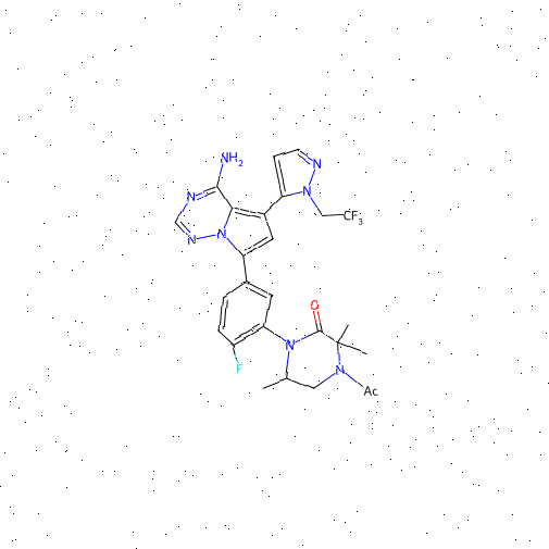 CC(=O)N1CC(C)N(c2cc(-c3cc(-c4ccnn4CC(F)(F)F)c4c(N)ncnn34)ccc2F)C(=O)C1(C)C